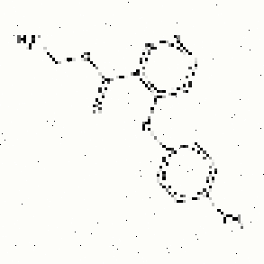 CCOC(=O)c1cnccc1Oc1ccc(C)cc1